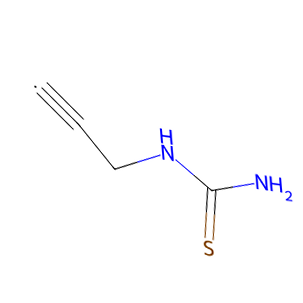 [C]#CCNC(N)=S